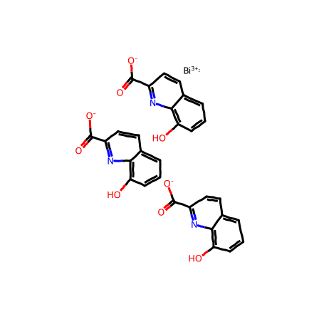 O=C([O-])c1ccc2cccc(O)c2n1.O=C([O-])c1ccc2cccc(O)c2n1.O=C([O-])c1ccc2cccc(O)c2n1.[Bi+3]